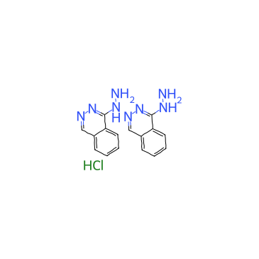 Cl.NNc1nncc2ccccc12.NNc1nncc2ccccc12